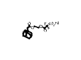 O=C(CC12CC3CC(CC(C3)C1)C2)OCCOC(=O)C(F)(F)S(=O)(=O)O